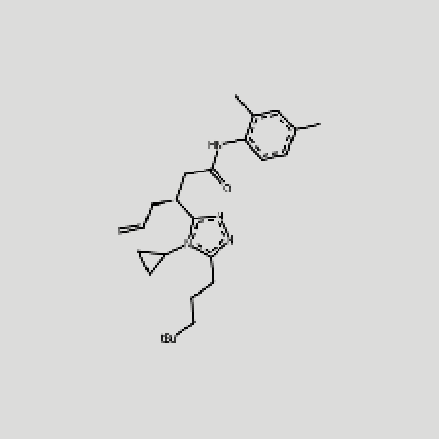 C=CC[C@@H](CC(=O)Nc1ccc(C)cc1C)c1nnc(CCCC(C)(C)C)n1C1CC1